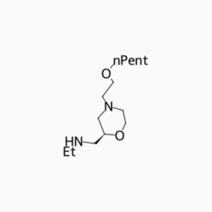 CCCCCOCCN1CCO[C@@H](CNCC)C1